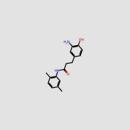 Cc1ccc(C)c(NC(=O)CCc2ccc(O)c(N)c2)c1